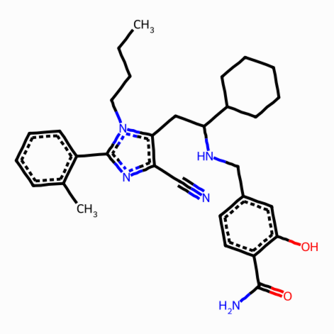 CCCCn1c(-c2ccccc2C)nc(C#N)c1CC(NCc1ccc(C(N)=O)c(O)c1)C1CCCCC1